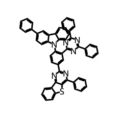 c1ccc(-c2ccc3c(c2)c2ccccc2n3-c2ccc(-c3nc(-c4ccccc4)c4sc5ccccc5c4n3)cc2-c2nc(-c3ccccc3)nc(-c3ccccc3)n2)cc1